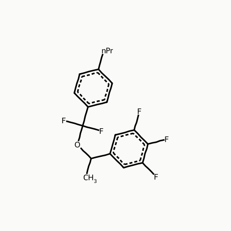 CCCc1ccc(C(F)(F)OC(C)c2cc(F)c(F)c(F)c2)cc1